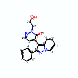 O=c1c(-c2c(-c3ccccc3)nn3ccccc23)ccnn1CCO